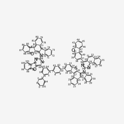 c1ccc(-c2cc(-c3ccc(-c4ccc5sc6c(c5c4)c4ccccc4c4c5ccccc5n(-c5nc(-c7ccc8oc9ccccc9c8c7)c7ccc8ccccc8c7n5)c64)cc3)cc(-c3nc(-n4c5ccccc5c5c6ccccc6c6c7ccccc7oc6c54)nc4c3oc3ccccc34)c2)cc1